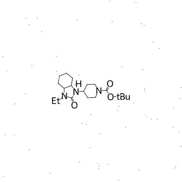 CCN1C(=O)N(C2CCN(C(=O)OC(C)(C)C)CC2)[C@@H]2CCCCC21